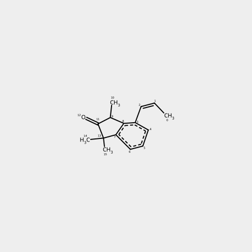 C/C=C\c1cccc2c1C(C)C(=O)C2(C)C